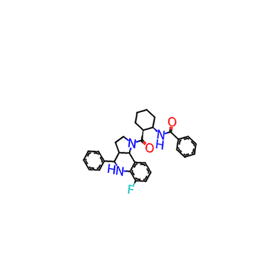 O=C(N[C@@H]1CCCC[C@@H]1C(=O)N1CCC2C(c3ccccc3)Nc3c(F)cccc3C21)c1ccccc1